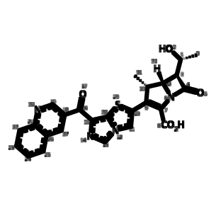 C[C@@H](O)[C@H]1C(=O)N2C(C(=O)O)=C(c3cn4cnc(C(=O)c5cnc6ccccc6c5)c4s3)[C@H](C)[C@H]12